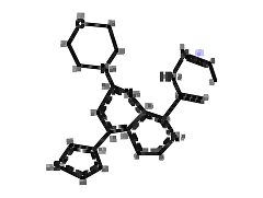 C=C(N/N=C\C)c1nccc2c(-c3ccsc3)cc(N3CCOCC3)nc12